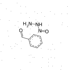 NNN=O.O=Cc1ccccc1